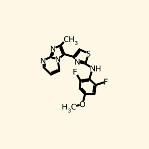 COc1cc(F)c(Nc2nc(-c3c(C)nc4ncccn34)cs2)c(F)c1